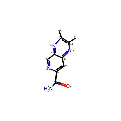 Cc1nc2cnc(C(N)=O)cc2nc1C